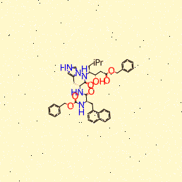 CC(C)C[C@H](NC(=O)[C@@H](Cc1c[nH]cn1)NC(=O)[C@@H](Cc1cccc2ccccc12)NC(=O)OCc1ccccc1)[C@@H](O)CC(=O)OCc1ccccc1